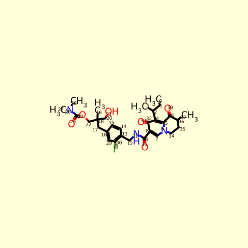 CCC(C)c1c2n(cc(C(=O)NCc3ccc(CC(C)(CO)COC(=O)N(C)C)cc3F)c1=O)CCC(C)C2=O